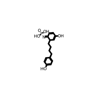 O=P(O)(O)/N=C1\C=CC(O)=CC1CCCCc1ccc(O)cc1